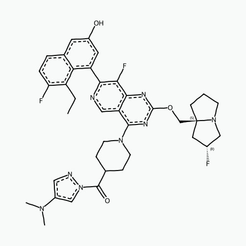 CCc1c(F)ccc2cc(O)cc(-c3ncc4c(N5CCC(C(=O)n6cc(N(C)C)cn6)CC5)nc(OC[C@@]56CCCN5C[C@H](F)C6)nc4c3F)c12